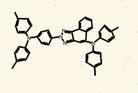 Cc1ccc(N(c2ccc(C)cc2)c2ccc(-n3nc4cc(N(c5ccc(C)cc5)c5ccc(C)cc5)c5ccccc5c4n3)cc2)cc1